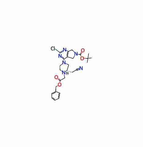 CC(C)(C)OC(=O)N1Cc2nc(Cl)nc(N3CCN(CC(=O)OCc4ccccc4)[C@@H](CC#N)C3)c2C1